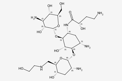 NCC[C@H](O)C(=O)N[C@@H]1C[C@H](N)[C@@H](O[C@H]2O[C@H](CNCCO)[C@@H](O)C[C@H]2N)[C@H](O)[C@H]1O[C@H]1O[C@H](CO)[C@@H](O)[C@H](N)[C@H]1O